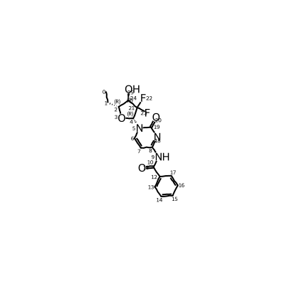 CC[C@H]1O[C@@H](n2ccc(NC(=O)c3ccccc3)nc2=O)C(F)(F)[C@@H]1O